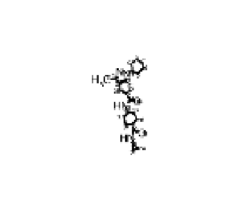 Cc1nn(C2CCCCC2)c2sc(C(=O)N[C@H]3CC[C@H](C(=O)NC4CC4)CC3)cc12